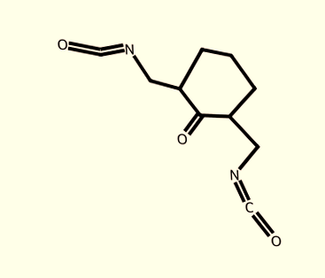 O=C=NCC1CCCC(CN=C=O)C1=O